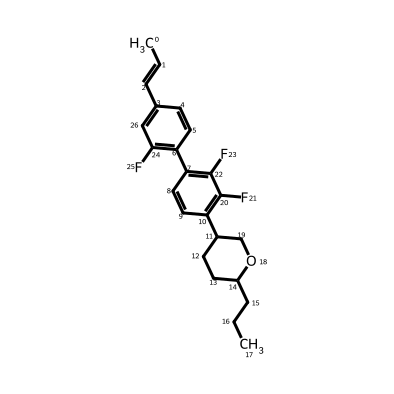 C/C=C/c1ccc(-c2ccc(C3CCC(CCC)OC3)c(F)c2F)c(F)c1